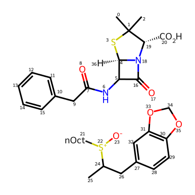 CC1(C)S[C@@H]2C(NC(=O)Cc3ccccc3)C(=O)N2[C@H]1C(=O)O.CCCCCCCC[S+]([O-])C(C)Cc1ccc2c(c1)OCO2